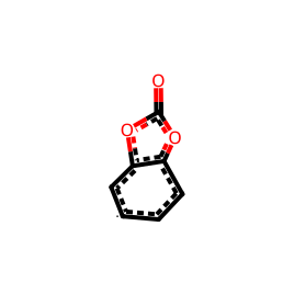 O=c1oc2c[c]ccc2o1